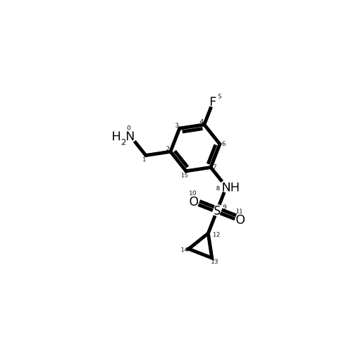 NCc1cc(F)cc(NS(=O)(=O)C2CC2)c1